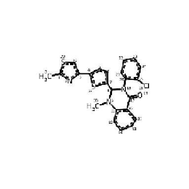 Cc1nc(-c2ccc(C3N(C)c4ccccc4C(=O)N3c3ccccc3Cl)s2)cs1